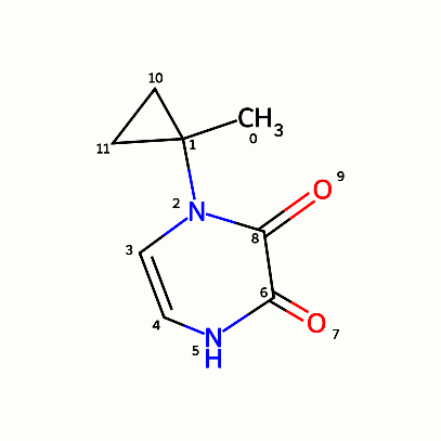 CC1(n2cc[nH]c(=O)c2=O)CC1